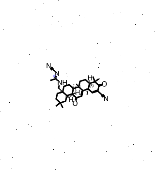 C/C(=N\C#N)NC[C@]12CCC(C)(C)C[C@H]1[C@H]1C(=O)C=C3[C@@]4(C)C=C(C#N)C(=O)C(C)(C)[C@@H]4CC[C@@]3(C)[C@]1(C)CC2